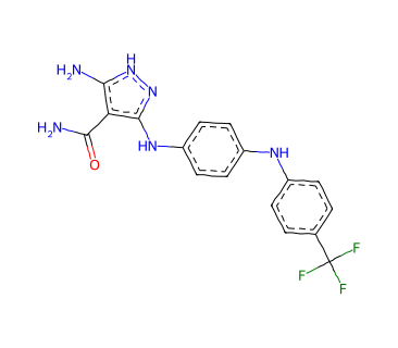 NC(=O)c1c(Nc2ccc(Nc3ccc(C(F)(F)F)cc3)cc2)n[nH]c1N